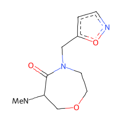 CNC1COCCN(Cc2ccno2)C1=O